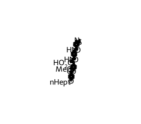 CCCCCCCOc1ccc(C(=O)Oc2ccc(CC(NC(=O)c3ccc(NC(=O)c4ccc5ncsc5c4)cc3)C(=O)O)cc2OC)cc1